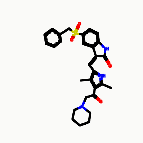 Cc1[nH]c(/C=C2\C(=O)Nc3ccc(S(=O)(=O)Cc4ccccc4)cc32)c(C)c1C(=O)CN1CCCCC1